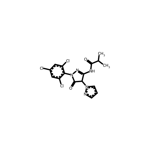 CC(C)C(=O)NC1=NN(c2c(Cl)cc(Cl)cc2Cl)C(=O)C1n1cccn1